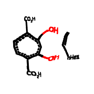 C=CCCCCCC.O=C(O)c1ccc(C(=O)O)c(O)c1O